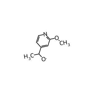 COc1cc(C(C)[O])ccn1